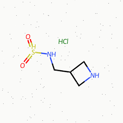 Cl.O=[SH](=O)NCC1CNC1